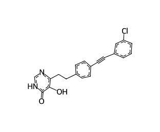 O=c1[nH]cnc(CCc2ccc(C#Cc3cccc(Cl)c3)cc2)c1O